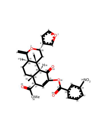 C=C1O[C@H](c2ccoc2)C[C@]2(C)[C@H]3C(=O)C(OC(=O)c4cccc([N+](=O)[O-])c4)=C[C@@H](C(=O)OC)[C@]3(C)CC[C@@H]12